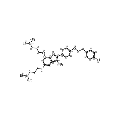 CCN(CC)CCCOc1cc(OCCCN(CC)CC)c2nc(-c3ccc(OCCc4ccc(Cl)cc4)cc3)n(C(C)C)c2c1